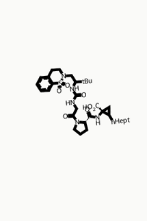 CCCCCCCC1C[C@]1(NC(=O)[C@@H]1CCCN1C(=O)CNC(=O)NC(CN1CCc2ccccc2S1(=O)=O)C(C)(C)C)C(=O)O